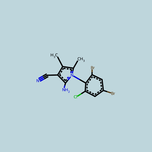 Cc1c(C#N)c(N)n(-c2c(Cl)cc(Br)cc2Br)c1C